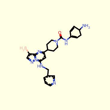 Bc1cnn2c(NCc3cccnc3)cc(C3CCN(C(=O)NC4=CCC(N)C=C4)CC3)nc12